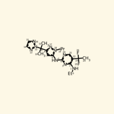 CCNc1nc(Nc2cc(C(C)(C)n3nccn3)nn2C(C)C)ncc1C(C)(F)F